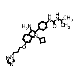 CC(C)NC(=O)Nc1ccc(-c2c(N)c3ccc(OCCCn4cncn4)cc3n2C2CCC2)cc1